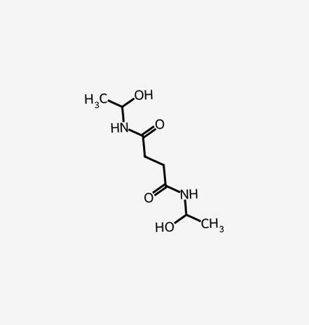 CC(O)NC(=O)CCC(=O)NC(C)O